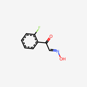 O=C(/C=N/O)c1ccccc1F